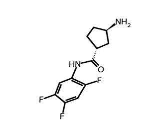 N[C@@H]1CC[C@@H](C(=O)Nc2cc(F)c(F)cc2F)C1